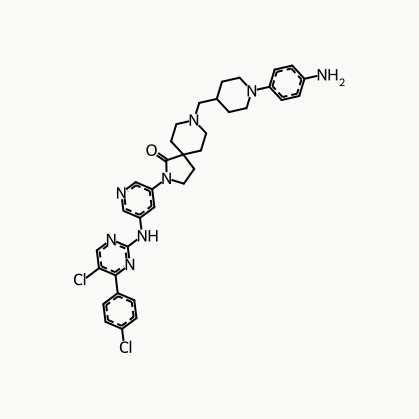 Nc1ccc(N2CCC(CN3CCC4(CC3)CCN(c3cncc(Nc5ncc(Cl)c(-c6ccc(Cl)cc6)n5)c3)C4=O)CC2)cc1